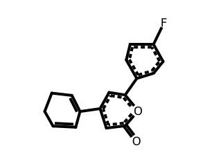 O=c1cc(C2=CCCC=C2)cc(-c2ccc(F)cc2)o1